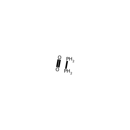 O=O.PP